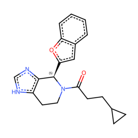 O=C(CCC1CC1)N1CCc2[nH]cnc2[C@H]1c1cc2ccccc2o1